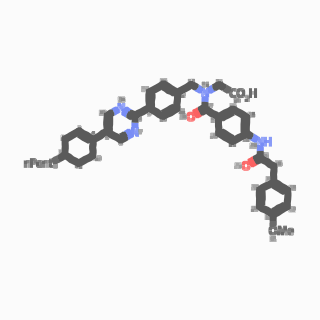 CCCCCC1CC=C(c2cnc(-c3ccc(CN(CC(=O)O)C(=O)c4ccc(NC(=O)Cc5ccc(OC)cc5)cc4)cc3)nc2)CC1